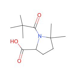 CC(C)(C)C(=O)N1C(C(=O)O)CCC1(C)C